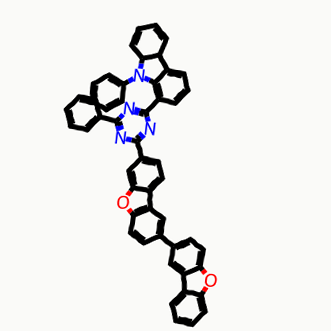 C1=CC2c3cccc(-c4nc(-c5ccccc5)nc(-c5ccc6c(c5)oc5ccc(-c7ccc8oc9ccccc9c8c7)cc56)n4)c3N(c3ccccc3)C2C=C1